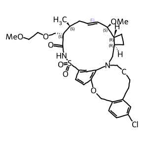 COCCOC[C@H]1C(=O)NS(=O)(=O)c2ccc3c(c2)N(CCCCc2cc(Cl)ccc2CO3)C[C@@H]2CC[C@H]2[C@H](OC)/C=C/C[C@@H]1C